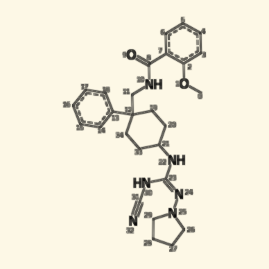 COc1ccccc1C(=O)NCC1(c2ccccc2)CCC(N/C(=N/N2CCCC2)NC#N)CC1